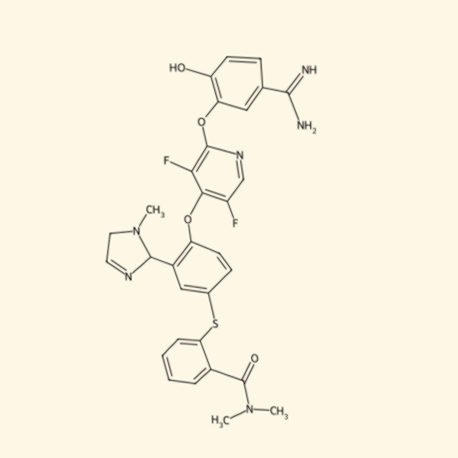 CN(C)C(=O)c1ccccc1Sc1ccc(Oc2c(F)cnc(Oc3cc(C(=N)N)ccc3O)c2F)c(C2N=CCN2C)c1